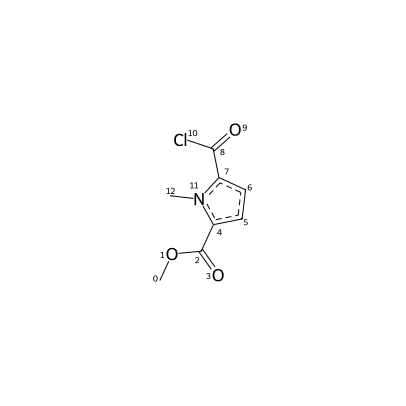 COC(=O)c1ccc(C(=O)Cl)n1C